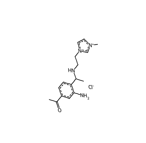 CC(=O)c1ccc(C(C)NCCn2cc[n+](C)c2)c(N)c1.[Cl-]